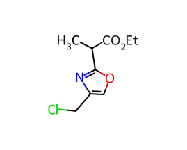 CCOC(=O)C(C)c1nc(CCl)co1